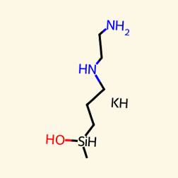 C[SiH](O)CCCNCCN.[KH]